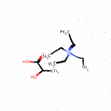 CC(O)C(=O)O.CC[N+](CC)(CC)CC